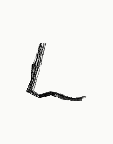 [O-2].[O-2].[O-2].[O-2].[O-2].[O-2].[O-2].[O-2].[O-2].[O-2].[O-2].[O-2].[O-2].[O-2].[O-2].[O-2].[O-2].[O-2].[O-2].[O-2].[O-2].[O-2].[O-2].[O-2].[O-2].[O-2].[O-2].[O-2].[O-2].[O-2].[O-2].[O-2].[O-2].[O-2].[O-2].[O-2].[O-2].[O-2].[O-2].[O-2].[O-2].[O-2].[O-2].[O-2].[O-2].[O-2].[O-2].[O-2].[O-2].[O-2].[Ti+4].[Ti+4].[Ti+4].[Ti+4].[Ti+4].[Ti+4].[Ti+4].[Ti+4].[Ti+4].[Ti+4].[Ti+4].[Ti+4].[Ti+4].[Ti+4].[Ti+4].[Ti+4].[Ti+4].[Ti+4].[Ti+4].[Ti+4].[Ti+4].[Ti+4].[Ti+4].[Ti+4].[Ti+4].[Ti+4].[Ti+4].[Ti+4].[Ti+4].[Ti+4].[Ti+4].[Ti+4].[Ti+4].[Ti+4].[Ti+4].[Ti+4].[Ti+4].[Ti+4].[Ti+4].[Ti+4]